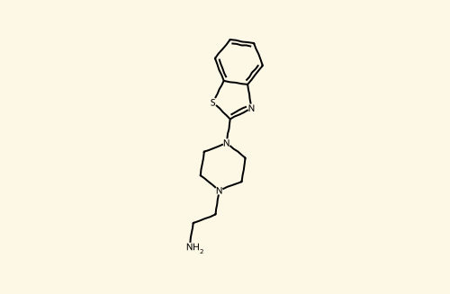 NCCN1CCN(c2nc3ccccc3s2)CC1